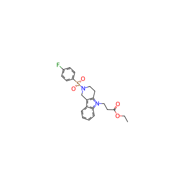 CCOC(=O)CCn1c2c(c3ccccc31)CN(S(=O)(=O)c1ccc(F)cc1)CC2